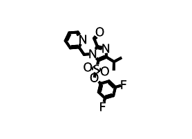 CC(C)c1nc(C=O)n(Cc2ccccn2)c1S(=O)(=O)Oc1cc(F)cc(F)c1